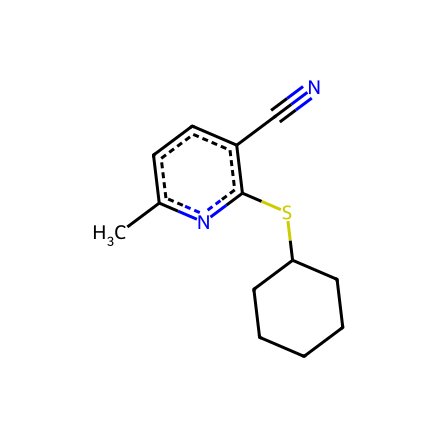 Cc1ccc(C#N)c(SC2CCCCC2)n1